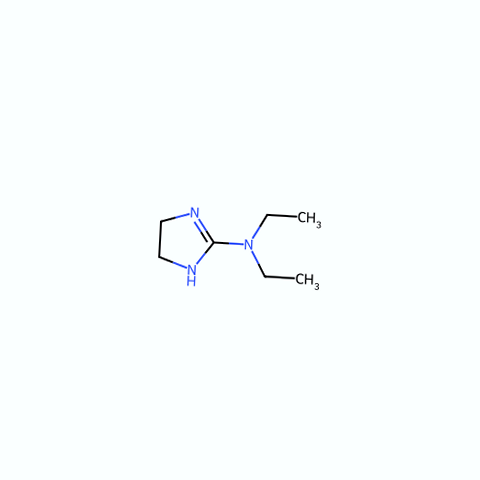 CCN(CC)C1=NCCN1